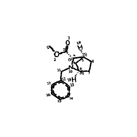 COC(=O)[C@@H]1[C@H]2CC[C@H](C2)N1Cc1ccccc1